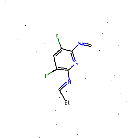 C=Nc1nc(N=CCC)c(F)cc1F